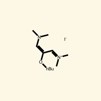 CCCCOC(=CN(C)C)C=[N+](C)C.[I-]